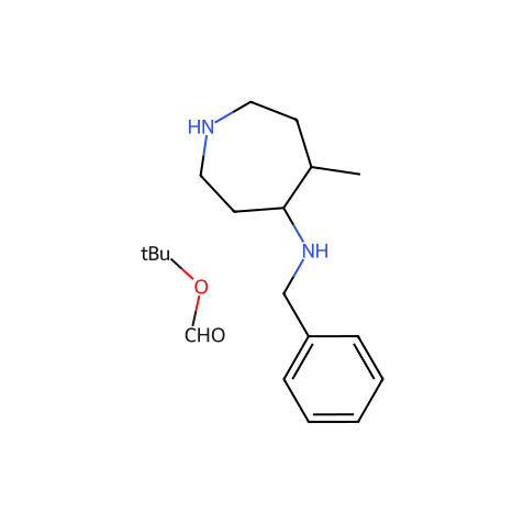 CC(C)(C)OC=O.CC1CCNCCC1NCc1ccccc1